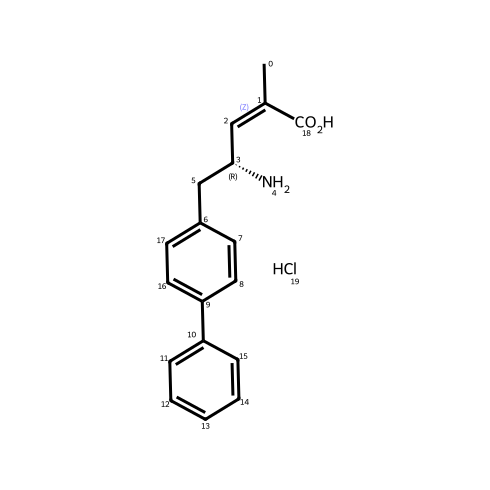 C/C(=C/[C@H](N)Cc1ccc(-c2ccccc2)cc1)C(=O)O.Cl